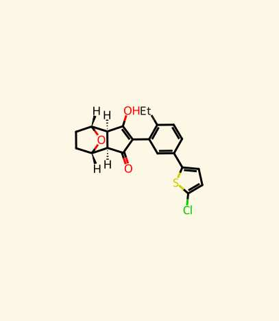 CCc1ccc(-c2ccc(Cl)s2)cc1C1=C(O)[C@H]2[C@@H](C1=O)[C@@H]1CC[C@H]2O1